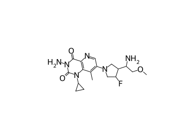 COCC(N)C1CN(c2cnc3c(=O)n(N)c(=O)n(C4CC4)c3c2C)CC1F